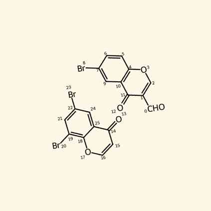 O=Cc1coc2ccc(Br)cc2c1=O.O=c1ccoc2c(Br)cc(Br)cc12